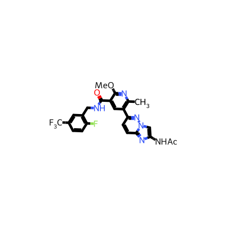 COc1nc(C)c(-c2ccc3nc(NC(C)=O)cn3n2)cc1C(=O)NCc1cc(C(F)(F)F)ccc1F